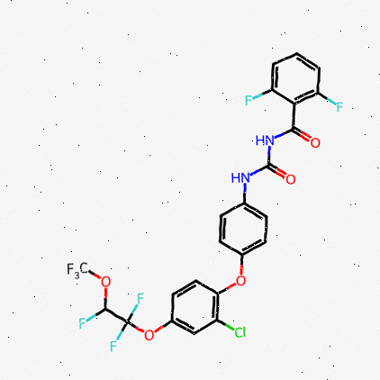 O=C(NC(=O)c1c(F)cccc1F)Nc1ccc(Oc2ccc(OC(F)(F)C(F)OC(F)(F)F)cc2Cl)cc1